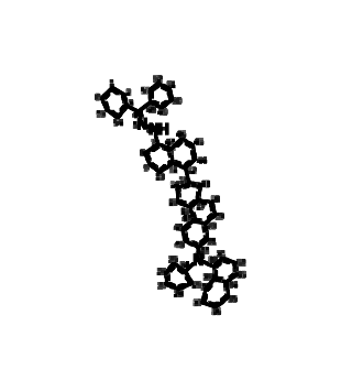 c1ccc(C(=NNc2cccc3c(-c4ccc5c(ccc6cc(N(c7ccccc7)c7cccc8ccccc78)ccc65)c4)cccc23)c2ccccc2)cc1